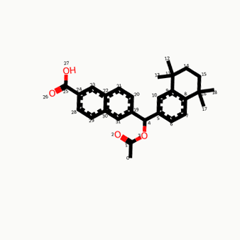 CC(=O)OC(c1ccc2c(c1)C(C)(C)CCC2(C)C)c1ccc2cc(C(=O)O)ccc2c1